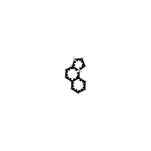 [c]1cc2ccccc2n2ccnc12